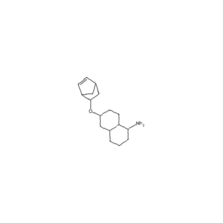 NC1CCCC2CC(OC3CC4C=CC3C4)CCC12